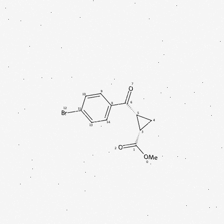 COC(=O)[C@H]1C[C@H]1C(=O)c1ccc(Br)cc1